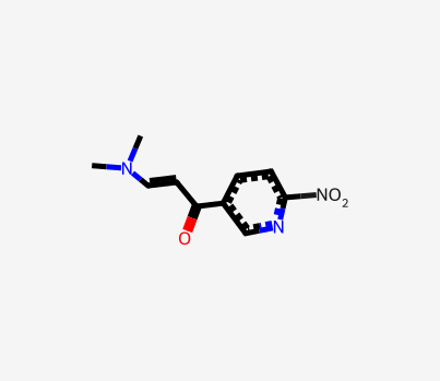 CN(C)/C=C/C(=O)c1ccc([N+](=O)[O-])nc1